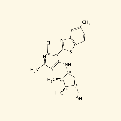 Cc1ccc2sc(-c3c(Cl)nc(N)nc3N[C@@H]3C[C@H](CO)[C@@H](C)[C@H]3C)nc2c1